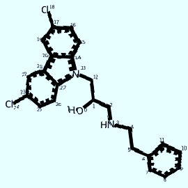 OC(CNCCc1ccccc1)Cn1c2ccc(Cl)cc2c2cc(Cl)ccc21